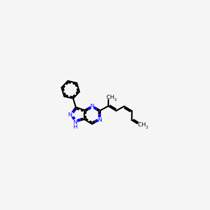 C=C/C=C\C=C(/C)c1ncc2[nH]nc(-c3ccccc3)c2n1